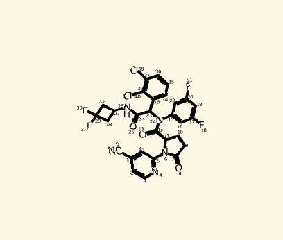 N#Cc1ccnc(N2C(=O)CCC2C(=O)N(c2cc(F)cc(F)c2)C(C(=O)NC2CC(F)(F)C2)c2cccc(Cl)c2Cl)c1